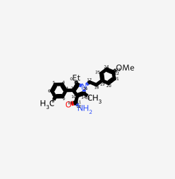 CCc1c(-c2cccc(C)c2)c(C(N)=O)c(C)n1CCc1ccc(OC)cc1